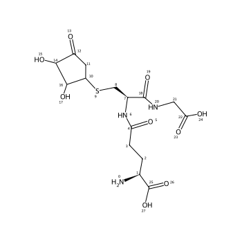 N[C@@H](CCC(=O)N[C@@H](CSC1CC(=O)C(O)C1O)C(=O)NCC(=O)O)C(=O)O